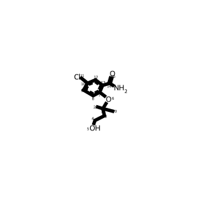 CC(C)(CCO)Oc1ccc(Cl)cc1C(N)=O